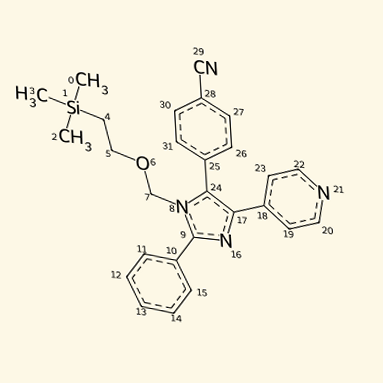 C[Si](C)(C)CCOCn1c(-c2ccccc2)nc(-c2ccncc2)c1-c1ccc(C#N)cc1